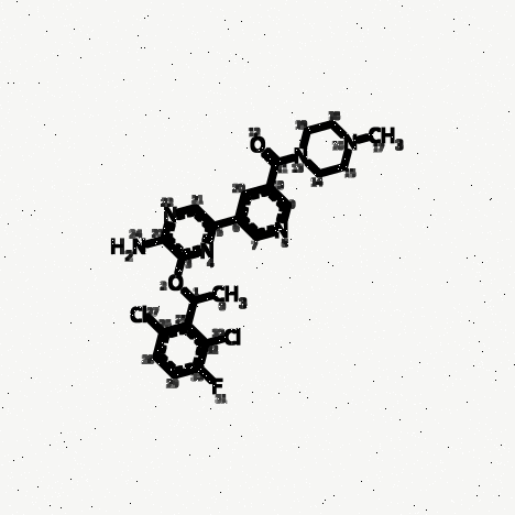 CC(Oc1nc(-c2cncc(C(=O)N3CCN(C)CC3)c2)cnc1N)c1c(Cl)ccc(F)c1Cl